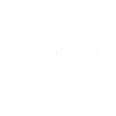 CC(=O)Oc1cc(OC(C)=O)c2c(c1)OC(c1ccc(CC(=O)O)cc1)CC2=O.O=C1CC(c2ccc(O)cc2)Oc2cc(O)cc(O)c21